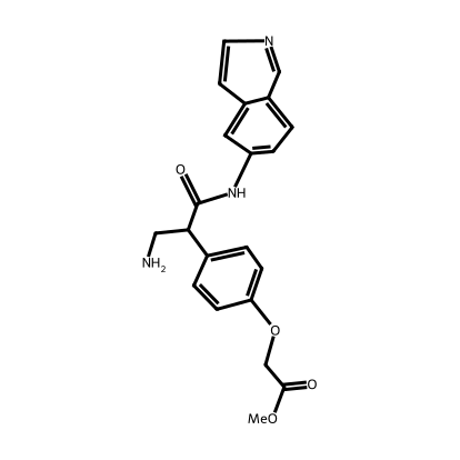 COC(=O)COc1ccc(C(CN)C(=O)Nc2ccc3cnccc3c2)cc1